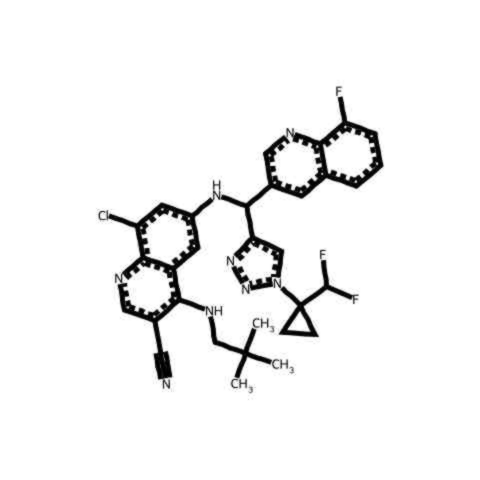 CC(C)(C)CNc1c(C#N)cnc2c(Cl)cc(NC(c3cnc4c(F)cccc4c3)c3cn(C4(C(F)F)CC4)nn3)cc12